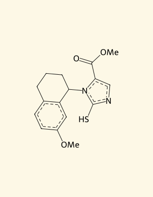 COC(=O)c1cnc(S)n1C1CCCc2ccc(OC)cc21